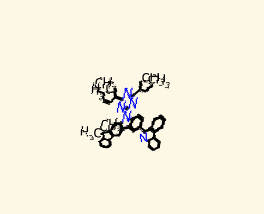 C=CC/C=C\C(=C/C)c1nc(C(/C=C\C)=C/C)nc(-n2c3ccc(-c4nc5ccccc5c5ccccc45)cc3c3cc4c(cc32)C(C)(C)c2ccccc2-4)n1